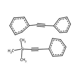 C(#Cc1ccccc1)c1ccccc1.C[Si](C)(C)C#Cc1ccccc1